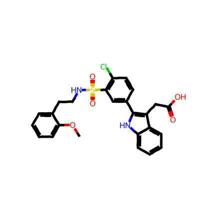 COc1ccccc1CCNS(=O)(=O)c1cc(-c2[nH]c3ccccc3c2CC(=O)O)ccc1Cl